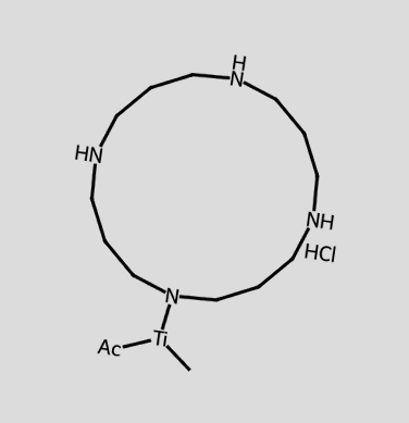 C[C](=O)[Ti]([CH3])[N]1CCCNCCCNCCCNCCC1.Cl